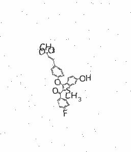 COC(=O)C=Cc1ccc(Oc2c(C(=O)c3ccc(F)cc3C)sc3cc(O)ccc23)cc1